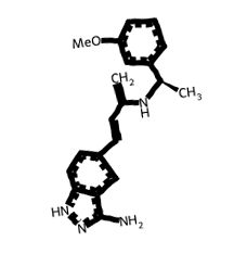 C=C(/C=C/c1ccc2[nH]nc(N)c2c1)N[C@H](C)c1cccc(OC)c1